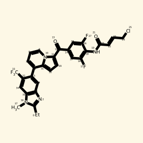 CCc1nc2cc(-c3cccn4c(C(=O)c5cc(F)c(NC(=O)/C=C/CCl)c(F)c5)ccc34)c(C(F)(F)F)cc2n1C